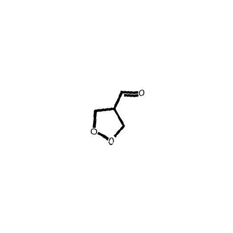 O=CC1COOC1